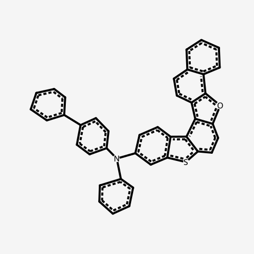 c1ccc(-c2ccc(N(c3ccccc3)c3ccc4c(c3)sc3ccc5oc6c7ccccc7ccc6c5c34)cc2)cc1